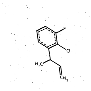 C=C[C](C)c1cccc(F)c1Cl